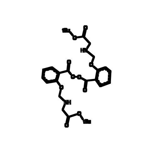 CC(C)(C)OC(=O)CNCOc1ccccc1C(=O)OOC(=O)c1ccccc1OCNCC(=O)OC(C)(C)C